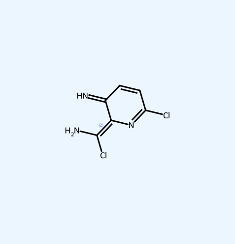 N=C1C=CC(Cl)=N/C1=C(/N)Cl